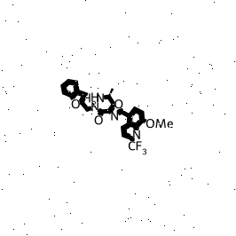 COc1ccc(-c2nc(C(=O)NCc3cc4ccccc4o3)c([C@H](C)N)o2)c2ccc(C(F)(F)F)nc12